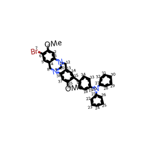 COc1cc2c(cc1Br)CN1CN2Cc2cc(-c3ccc(N(c4ccccc4)c4ccccc4)cc3)c(OC)cc21